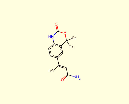 CCCC(=CC(N)=O)c1ccc2c(c1)C(CC)(CC)OC(=O)N2